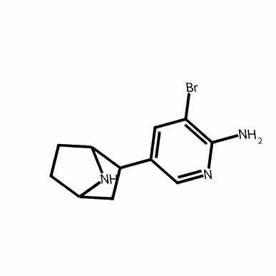 Nc1ncc(C2CC3CCC2N3)cc1Br